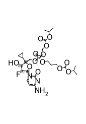 CC(C)OC(=O)OCCCOP(=O)(OCOC(=O)OC(C)C)OC[C@@]1(C2CC2)O[C@@H](n2ccc(N)nc2=O)[C@H](F)[C@@H]1O